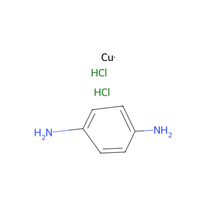 Cl.Cl.Nc1ccc(N)cc1.[Cu]